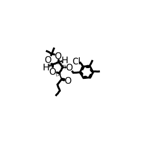 CCCC(=O)[C@H]1O[C@@H]2OC(C)(C)O[C@@H]2[C@H]1OCc1ccc(C)c(C)c1Cl